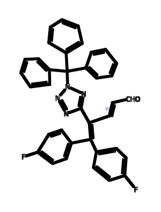 O=C/C=C/C(=C(c1ccc(F)cc1)c1ccc(F)cc1)c1nnn(C(c2ccccc2)(c2ccccc2)c2ccccc2)n1